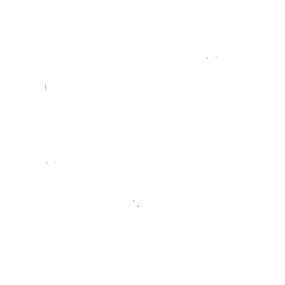 Cn1cc(C(=O)c2ccccc2)c(=O)c(-c2cccc(C(F)(F)F)c2)c1